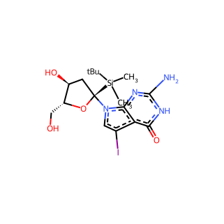 CC(C)(C)[Si](C)(C)[C@]1(n2cc(I)c3c(=O)[nH]c(N)nc32)C[C@H](O)[C@@H](CO)O1